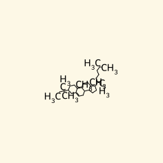 CCC(C)(C)C1CCC2(C)C(=CCC3C2CCC2(C)C(C(C)CCCC(C)C)CCC32)C1